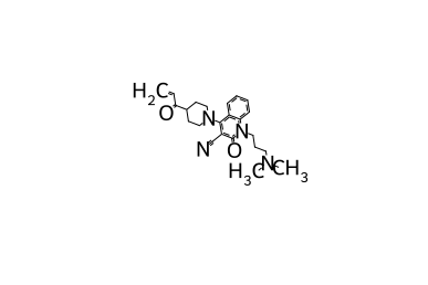 C=CC(=O)C1CCN(c2c(C#N)c(=O)n(CCCN(C)C)c3ccccc23)CC1